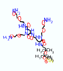 CC(C)(CCC(=O)NC(CCC(=O)NC(CCC(=O)NCCOCCON)C(=O)NCCOCCON)C(=O)NCCOCCON)OCC(C)(C)OP(C)(=O)S